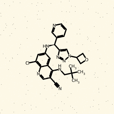 CC(C)(C)CNc1c(C#N)cnc2c(Cl)cc(N[C@@H](c3cccnc3)c3cn(C4COC4)nn3)cc12